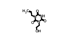 C=CCn1c(=O)[nH]c(=O)n(CCO)c1=O